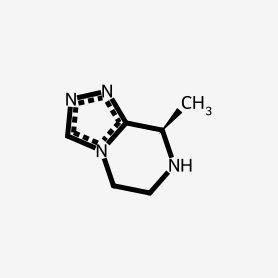 C[C@H]1NCCn2cnnc21